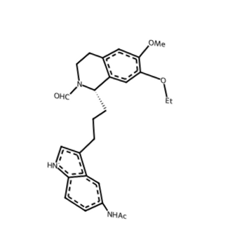 CCOc1cc2c(cc1OC)CCN(C=O)[C@H]2CCCc1c[nH]c2ccc(NC(C)=O)cc12